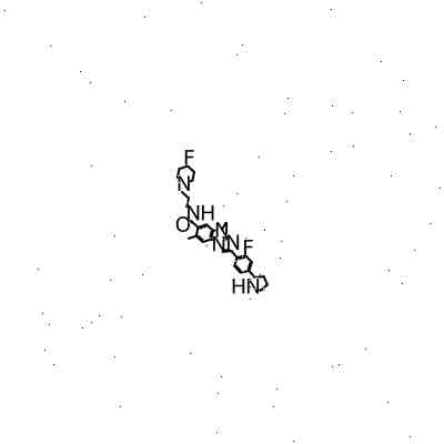 Cc1cc2c(cc1C(=O)NCCCN1CCC(F)CC1)n(C)c1nc(-c3ccc(C4CCCN4)cc3F)cn21